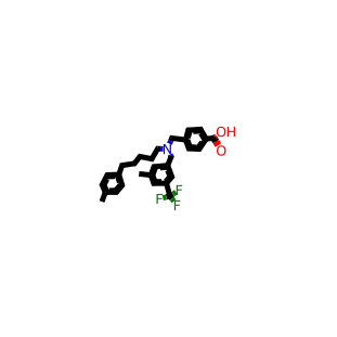 Cc1ccc(CCCCCN(Cc2ccc(C(=O)O)cc2)Cc2cc(C)cc(C(F)(F)F)c2)cc1